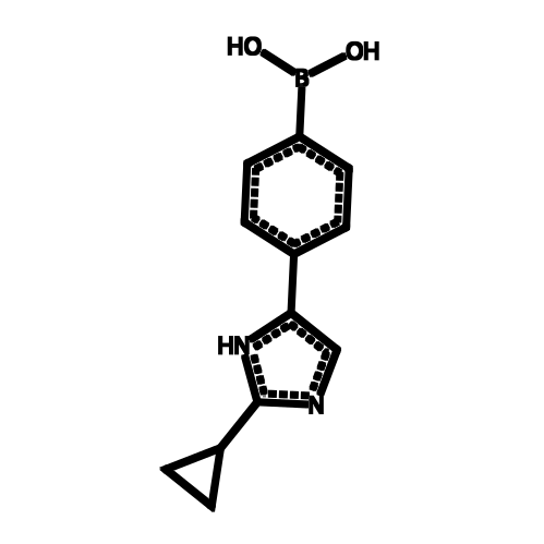 OB(O)c1ccc(-c2cnc(C3CC3)[nH]2)cc1